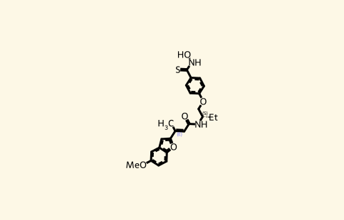 CC[C@@H](COc1ccc(C(=S)NO)cc1)NC(=O)/C=C(\C)c1cc2cc(OC)ccc2o1